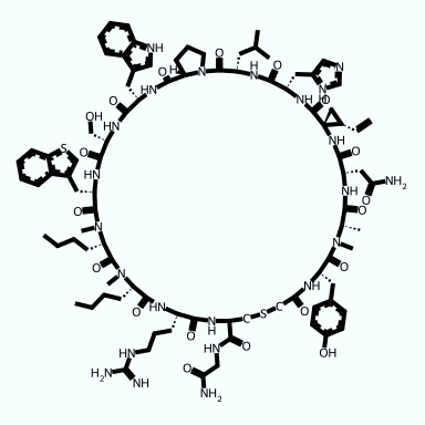 C=C[C@H]1C[C@]12NC(=O)[C@H](CC(N)=O)NC(=O)[C@H](C)N(C)C(=O)[C@H](Cc1ccc(O)cc1)NC(=O)CSCC(C(=O)NCC(N)=O)NC(=O)[C@H](CCCNC(=N)N)NC(=O)[C@H](CCCC)N(C)C(=O)[C@H](CCCC)N(C)C(=O)[C@H](Cc1csc3ccccc13)NC(=O)[C@H](CO)NC(=O)[C@H](Cc1c[nH]c3ccccc13)NC(=O)[C@@H]1CCCN1C(=O)[C@H](CC(C)C)NC(=O)[C@H](Cc1cnc[nH]1)NC2=O